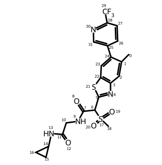 Cc1cc2nc(C(C(=O)NCC(=O)NC3CC3)S(C)(=O)=O)sc2cc1-c1ccc(C(F)(F)F)nc1